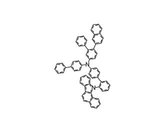 c1ccc(-c2ccc(N(c3ccc(-c4ccccc4-n4c5ccccc5c5ccc6ccccc6c54)cc3)c3ccc(-c4ccc5ccccc5c4)c(-c4ccccc4)c3)cc2)cc1